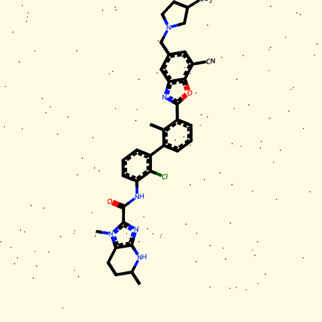 Cc1c(-c2nc3cc(CN4CCC(C(=O)O)C4)cc(C#N)c3o2)cccc1-c1cccc(NC(=O)c2nc3c(n2C)CCC(C)N3)c1Cl